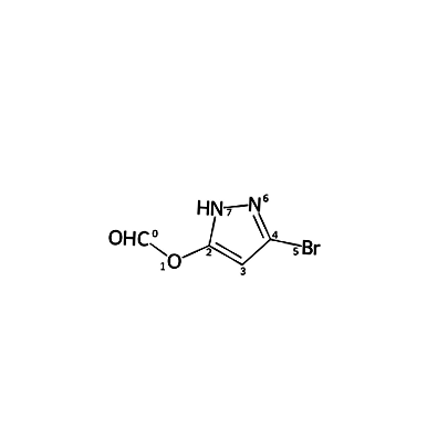 O=COc1cc(Br)n[nH]1